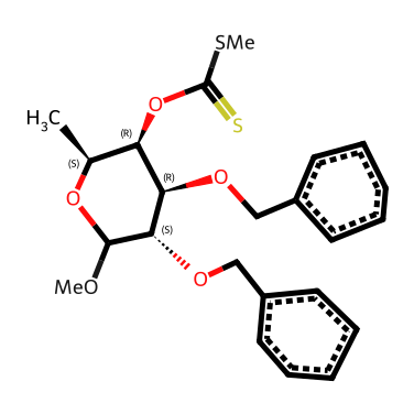 COC1O[C@@H](C)[C@@H](OC(=S)SC)[C@@H](OCc2ccccc2)[C@@H]1OCc1ccccc1